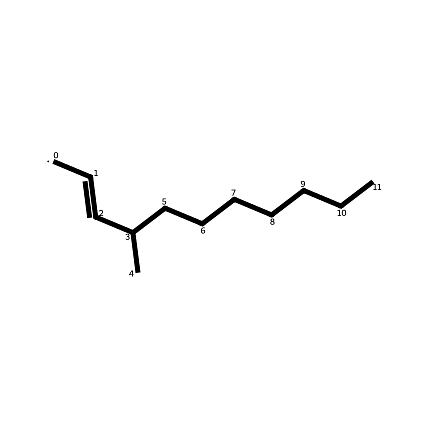 [CH2]C=CC(C)CCCCCCC